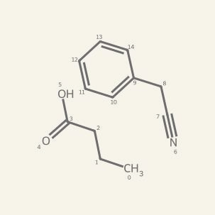 CCCC(=O)O.N#CCc1ccccc1